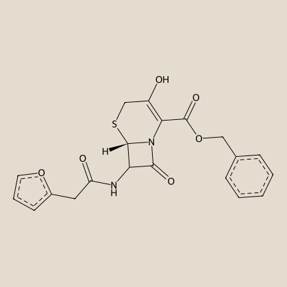 O=C(Cc1ccco1)NC1C(=O)N2C(C(=O)OCc3ccccc3)=C(O)CS[C@@H]12